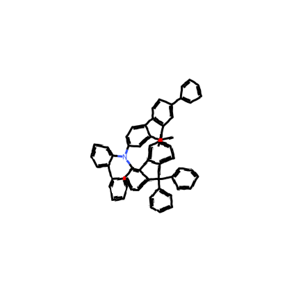 CC1(C)c2cc(-c3ccccc3)ccc2-c2ccc(N(c3ccccc3-c3ccccc3)c3cccc4c3-c3ccccc3C4(c3ccccc3)c3ccccc3)cc21